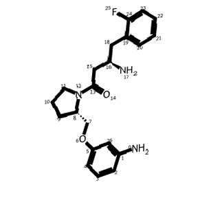 Nc1cccc(OC[C@@H]2CCCN2C(=O)C[C@H](N)Cc2ccccc2F)c1